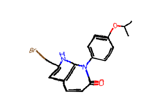 CC(C)Oc1ccc(-n2c(=O)ccc3cc(Br)[nH]c32)cc1